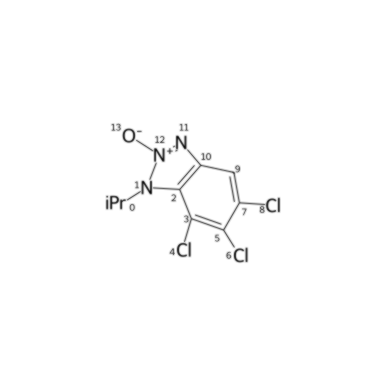 CC(C)n1c2c(Cl)c(Cl)c(Cl)cc2n[n+]1[O-]